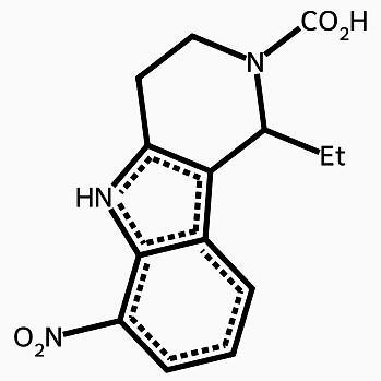 CCC1c2c([nH]c3c([N+](=O)[O-])cccc23)CCN1C(=O)O